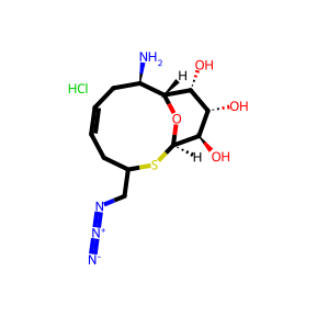 Cl.[N-]=[N+]=NCC1CC=CC[C@@H](N)[C@H]2O[C@H](S1)[C@H](O)[C@@H](O)[C@H]2O